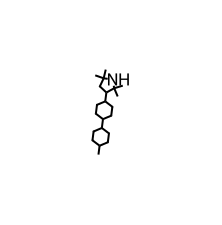 CC1CCC(C2CCC(C3CC(C)(C)NC3(C)C)CC2)CC1